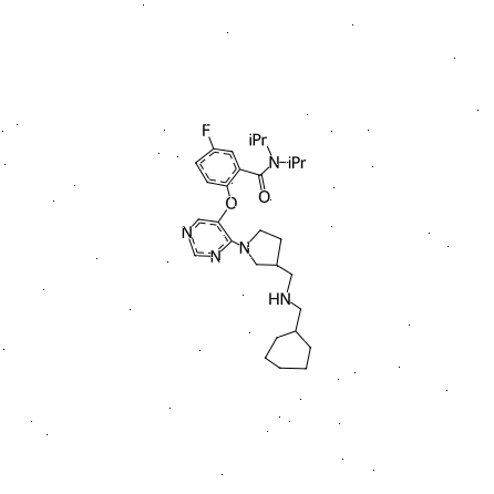 CC(C)N(C(=O)c1cc(F)ccc1Oc1cncnc1N1CCC(CNCC2CCCCC2)C1)C(C)C